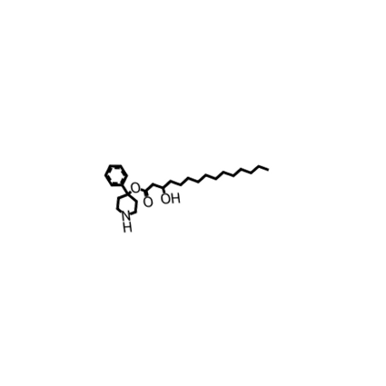 CCCCCCCCCCCCC(O)CC(=O)OC1(c2ccccc2)CCNCC1